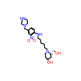 O=[N+]([O-])c1cc(CN2CCNCC2)ccc1NCCCCCCN1CC[C@@H](O)C[C@H]1CO